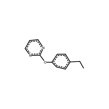 CCc1ccc(Oc2ncccn2)cc1